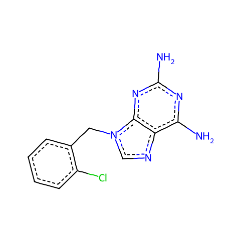 Nc1nc(N)c2ncn(Cc3ccccc3Cl)c2n1